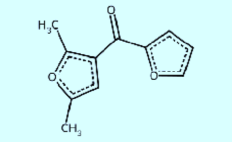 Cc1cc(C(=O)c2ccco2)c(C)o1